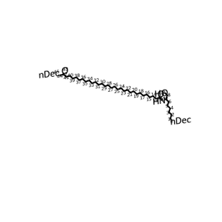 CCCCCCCCCCCCCCCCC(CO)NC(=O)CCCCCCCCCCCCCCCCCCCCCCCCCCCCCC(=O)CCCCCCCCCCC